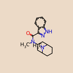 CN(C(=O)c1n[nH]c2ccccc12)C1CC2CCCC(C1)N2C